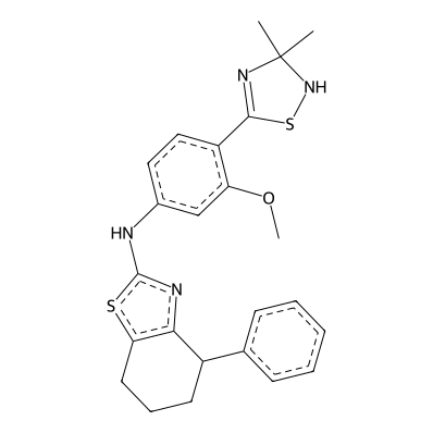 COc1cc(Nc2nc3c(s2)CCCC3c2ccccc2)ccc1C1=NC(C)(C)NS1